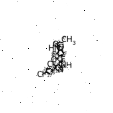 CCCS(=O)(=O)Nc1ccc(F)c(C(=O)c2c[nH]c3ncc(-c4ccc(Cl)cc4)c(Cl)c23)c1F